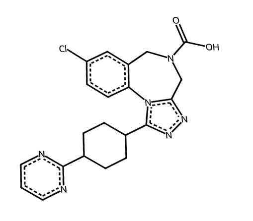 O=C(O)N1Cc2cc(Cl)ccc2-n2c(nnc2C2CCC(c3ncccn3)CC2)C1